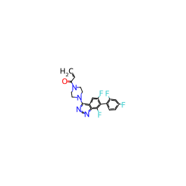 C=CC(=O)N1CCN(c2ncnc3c(F)c(-c4ccc(F)cc4F)c(F)cc23)CC1